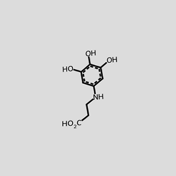 O=C(O)CCNc1cc(O)c(O)c(O)c1